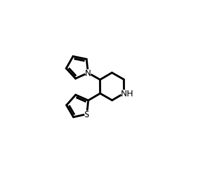 c1csc(C2CNCCC2n2cccc2)c1